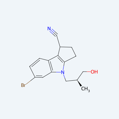 C[C@H](CO)Cn1c2c(c3ccc(Br)cc31)C(C#N)CC2